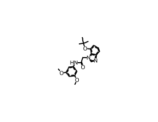 COc1cc(NC(=O)Cn2cnc3cccc(OC(C)(C)C)c32)cc(OC)c1